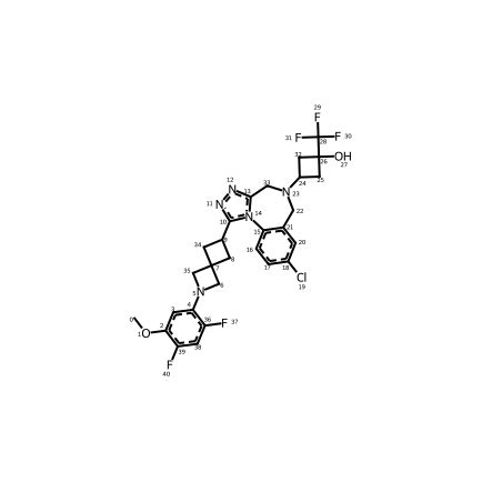 COc1cc(N2CC3(CC(c4nnc5n4-c4ccc(Cl)cc4CN(C4CC(O)(C(F)(F)F)C4)C5)C3)C2)c(F)cc1F